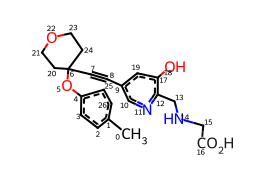 Cc1ccc(OC2(C#Cc3cnc(CNCC(=O)O)c(O)c3)CCOCC2)cc1